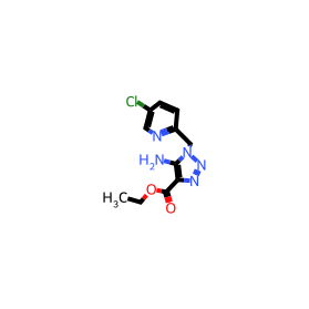 CCOC(=O)c1nnn(Cc2ccc(Cl)cn2)c1N